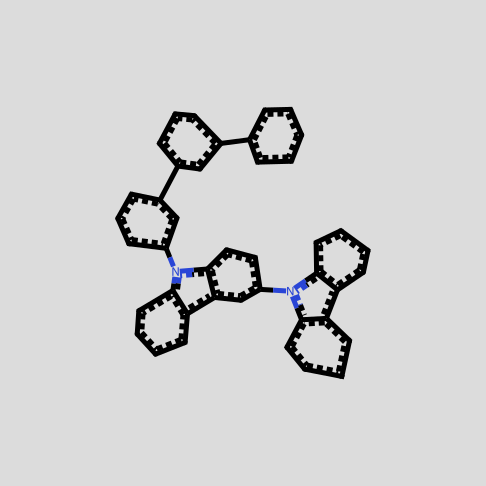 c1ccc(-c2cccc(-c3cccc(-n4c5ccccc5c5cc(-n6c7ccccc7c7ccccc76)ccc54)c3)c2)cc1